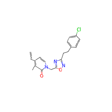 C=Cc1ccn(Cc2nc(CCc3ccc(Cl)cc3)no2)c(=O)c1C